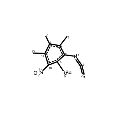 Cc1c(C)c(N=C=S)c(C(C)(C)C)c([N+](=O)[O-])c1C